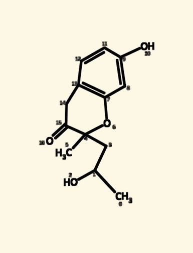 CC(O)CC1(C)Oc2cc(O)ccc2CC1=O